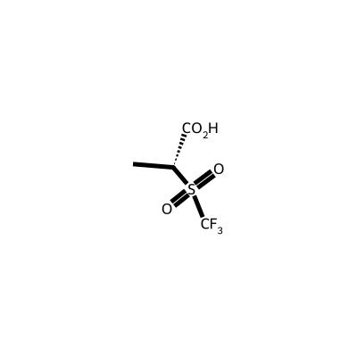 C[C@H](C(=O)O)S(=O)(=O)C(F)(F)F